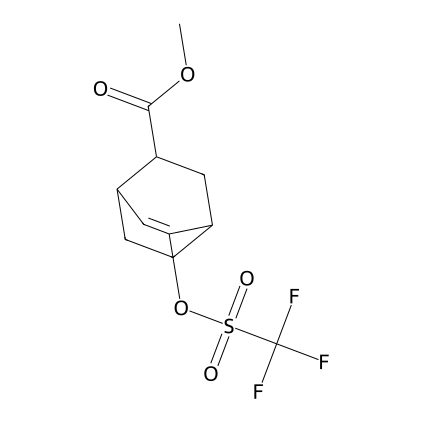 COC(=O)C1CC2CCC1C=C2OS(=O)(=O)C(F)(F)F